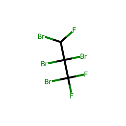 FC(Br)C(Br)(Br)C(F)(F)Br